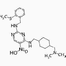 CSc1ccccc1CNc1ncc([N+](=O)O)c(NCC2CCC(CN(C)C)CC2)n1